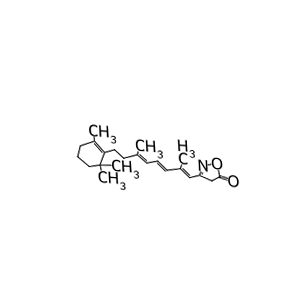 CC1=C(CC/C(C)=C/C=C/C(C)=C/C2=NOC(=O)C2)C(C)(C)CCC1